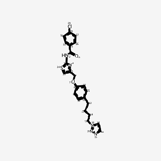 O=C(Nc1nc(COc2ccc(CCCCn3ccnn3)cc2)cs1)c1ccc(Cl)cc1